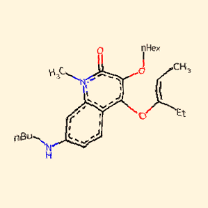 CC=C(CC)Oc1c(OCCCCCC)c(=O)n(C)c2cc(NCCCC)ccc12